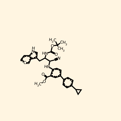 COC(=O)c1cc(-c2ccc(C3CC3)cc2)ccc1NC(C#N)C(Cc1c[nH]c2ccccc12)NC(=O)OC(C)(C)C